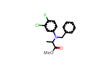 COC(=O)C(C)N(Cc1ccccc1)c1ccc(F)c(Cl)c1